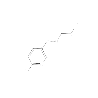 CCOC(=O)c1ccc(CNCCO)cn1